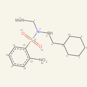 CNCN(BCC1CCCCC1)S(=O)(=O)c1ccccc1[N+](=O)[O-]